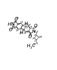 CCC1CC(CN2C(=O)C3=C[C@@H]4c5cc6c(cc5[C@@H]4C=C3C2=O)C(=O)NC6=O)C1